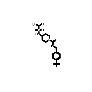 CC(C)S(=O)(=O)NC1CCN(C(=O)NCc2ccc(C(F)(F)F)cc2)CC1